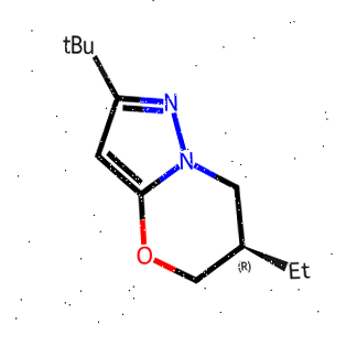 CC[C@H]1COc2cc(C(C)(C)C)nn2C1